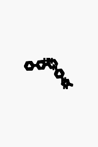 Cc1cn(-c2ccc(N3CCNC(c4ccc(-c5ccccc5)cc4)C3)cc2)cn1